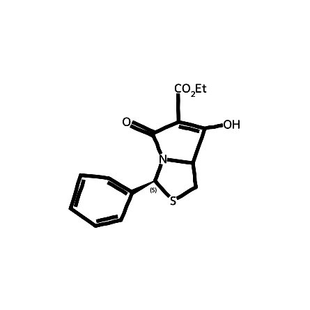 CCOC(=O)C1=C(O)C2CS[C@@H](c3ccccc3)N2C1=O